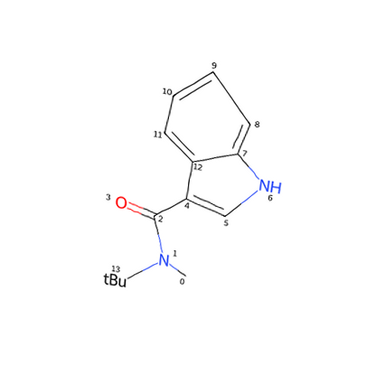 CN(C(=O)c1c[nH]c2ccccc12)C(C)(C)C